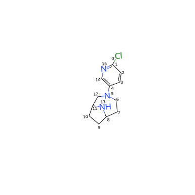 Clc1ccc(N2CCC3CCC(C2)N3)cn1